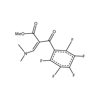 COC(=O)/C(=C\N(C)C)C(=O)c1c(F)c(F)c(F)c(F)c1F